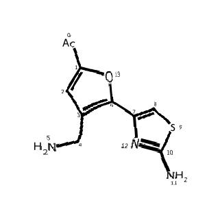 CC(=O)c1cc(CN)c(-c2csc(N)n2)o1